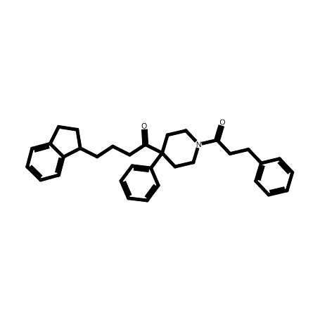 O=C(CCc1ccccc1)N1CCC(C(=O)CCCC2CCc3ccccc32)(c2ccccc2)CC1